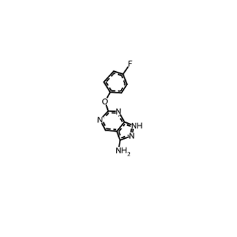 Nc1n[nH]c2nc(Oc3ccc(F)cc3)ncc12